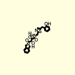 O=C(NCc1ncc(Cc2ccccc2O)s1)[C@H](O)C(O)C(=O)N1Cc2ccccc2C1